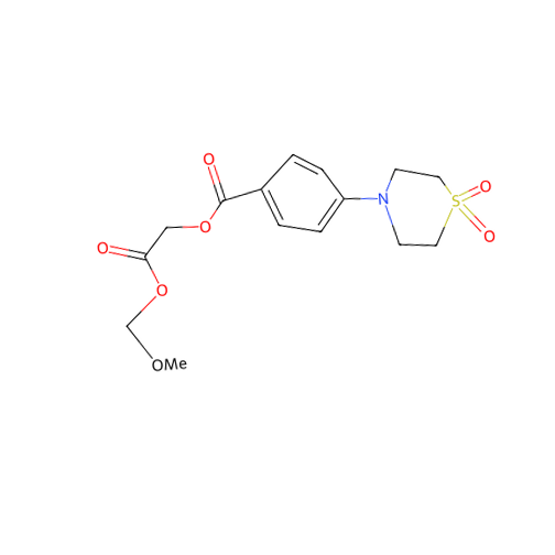 COCOC(=O)COC(=O)c1ccc(N2CCS(=O)(=O)CC2)cc1